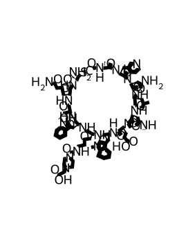 CNC(=O)C[C@@H]1NC(=O)[C@H](CC(C)C)NC(=O)[C@H](CC(N)=O)NC(=O)[C@H](Cc2cccnc2)N(C)C(=O)[C@@H](C)NC(=O)CSC[C@@H](C(N)=O)NC(=O)[C@H](CCCC(N)=O)NC(=O)[C@H]([C@@H](C)O)NC(=O)[C@H](Cc2cn(C)c3ccccc23)NC(=O)[C@H](CCCCNC(=O)N2CCN(CC(=O)O)CC2)NC(=O)[C@H](Cc2cn(C)c3ccccc23)NC(=O)[C@H](CCC(=O)O)N(C)C1=O